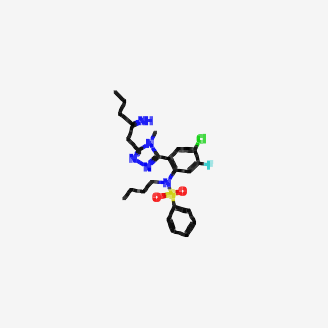 CCCCN(c1cc(F)c(Cl)cc1-c1nnc(CC(=N)CCC)n1C)S(=O)(=O)c1ccccc1